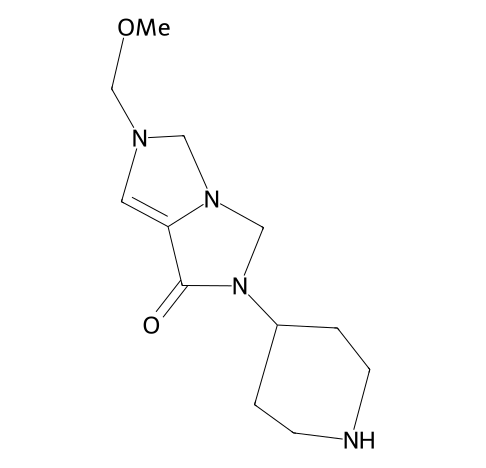 COCN1C=C2C(=O)N(C3CCNCC3)CN2C1